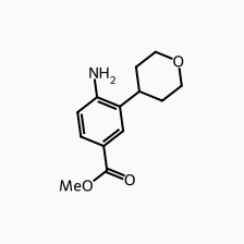 COC(=O)c1ccc(N)c(C2CCOCC2)c1